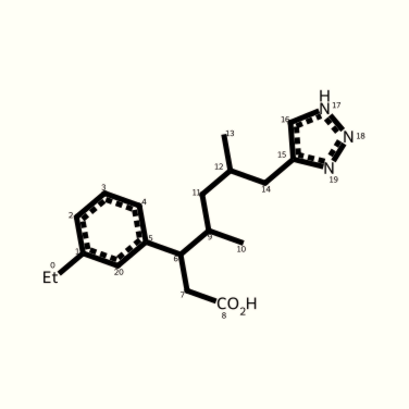 CCc1cccc(C(CC(=O)O)C(C)CC(C)Cc2c[nH]nn2)c1